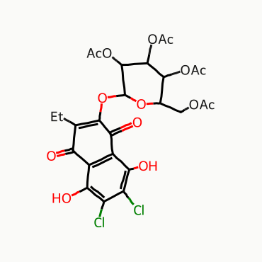 CCC1=C(OC2OC(COC(C)=O)C(OC(C)=O)C(OC(C)=O)C2OC(C)=O)C(=O)c2c(O)c(Cl)c(Cl)c(O)c2C1=O